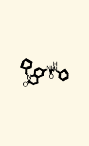 O=C(Nc1ccccc1)Nc1ccc2c(c1)CCC(=O)N2Cc1ccccc1